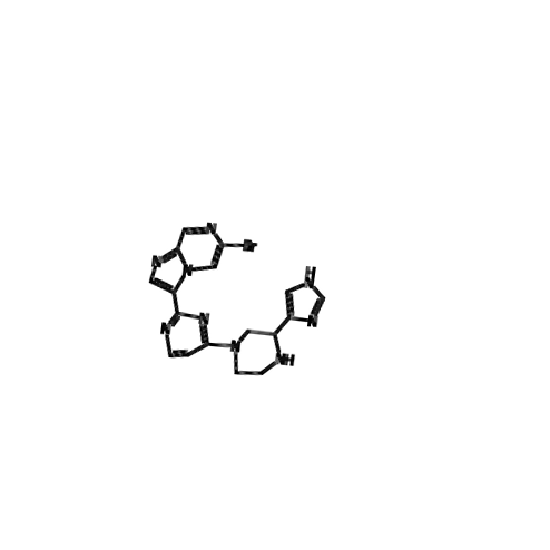 Brc1cn2c(-c3nccc(N4CCNC(c5c[nH]cn5)C4)n3)cnc2cn1